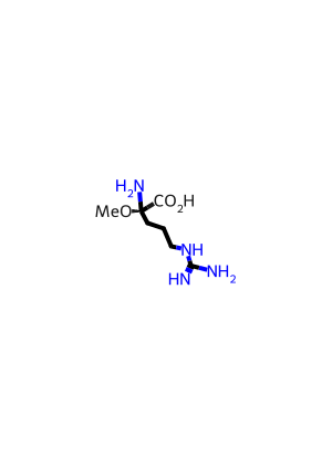 CO[C@](N)(CCCNC(=N)N)C(=O)O